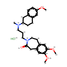 COc1ccc2c(c1)CCC(N(C)CCCN1CCc3cc(OC)c(OC)cc3CC1=O)C2.Cl